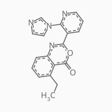 CCc1cccc2nc(-c3cccnc3-n3ccnc3)oc(=O)c12